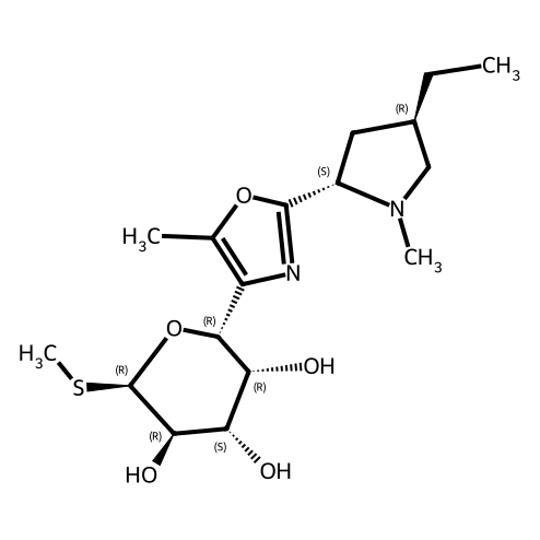 CC[C@@H]1C[C@@H](c2nc([C@H]3O[C@H](SC)[C@H](O)[C@@H](O)[C@H]3O)c(C)o2)N(C)C1